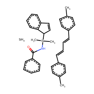 Cc1ccc(C=CC=Cc2ccc(C)cc2)cc1.[CH3][Ti]([CH3])([NH]C(=O)c1ccccc1)[CH]1C=Cc2ccccc21.[SiH4]